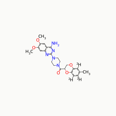 [2H]c1c([2H])c2c(c([2H])c1C)OCC(C(=O)N1CCN(c3nc(N)c4cc(OC)c(OC)cc4n3)CC1)O2